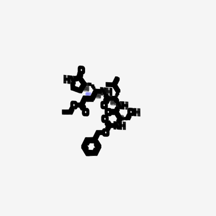 CCOC(=O)/C=C/[C@H](C[C@@H]1CCNC1=O)NC(=O)[C@H](CC(C)C)NC(=O)[C@H](CO)NC(=O)OCc1ccccc1